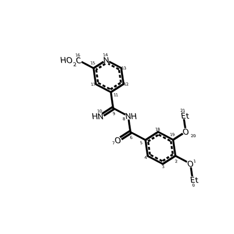 CCOc1ccc(C(=O)NC(=N)c2ccnc(C(=O)O)c2)cc1OCC